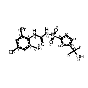 CC(C)c1cc(Cl)cc(C(C)C)c1NC(=O)NS(=O)(=O)c1ccc(C(C)(C)O)s1